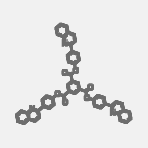 O=C(Oc1ccc(-c2ccc3ccccc3n2)cc1)c1cc(C(=O)Oc2ccc(-c3ccc4ccccc4n3)cc2)cc(C(=O)Oc2ccc(-c3ccc4ccccc4n3)cc2)c1